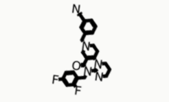 N#Cc1cccc(CN2CCC3=C(C2)C(=O)N(Cc2ccc(F)cc2F)C2=NCCCN23)c1